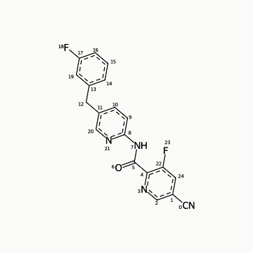 N#Cc1cnc(C(=O)Nc2ccc(Cc3cccc(F)c3)cn2)c(F)c1